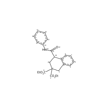 CCOC(=O)C1(C(=O)OCC)Cc2ccccc2C(C(=O)Nc2ccccc2)C1